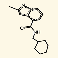 Cc1cc2c(C(=O)NCC3CCCCC3)cccn2n1